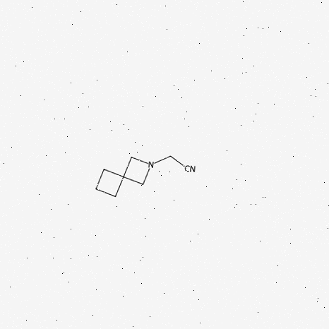 N#CCN1CC2(CCC2)C1